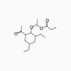 CCC(=O)OC(C)OC1C(CC)CC(CC)CC1C(C)=O